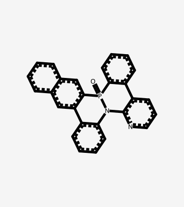 O=P12c3cc4ccccc4cc3-c3ccccc3N1c1ncccc1-c1ccccc12